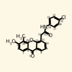 Cc1ccc2c(=O)c3cccc(CC(=O)Nc4ccc(Cl)cc4)c3oc2c1C